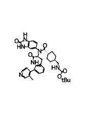 Cc1cnccc1-c1cccc(C[C@@H](C(N)=O)N(c2ccc3[nH]c(=O)[nH]c3c2)C(=O)[C@H]2CC[C@H](CNC(=O)OC(C)(C)C)CC2)c1